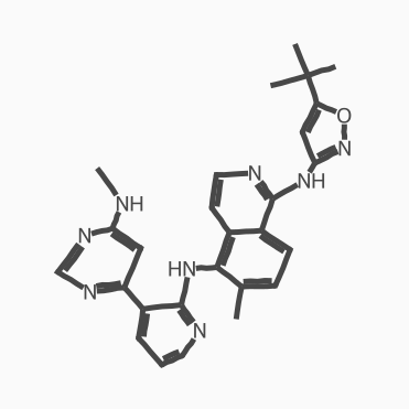 CNc1cc(-c2cccnc2Nc2c(C)ccc3c(Nc4cc(C(C)(C)C)on4)nccc23)ncn1